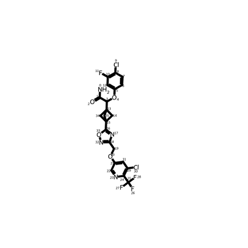 NC(=O)C(Oc1ccc(Cl)c(F)c1)C12CC(c3nc(COc4cnc(C(F)(F)F)c(Cl)c4)no3)(C1)C2